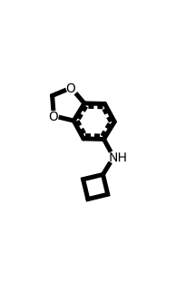 c1cc2c(cc1NC1CCC1)OCO2